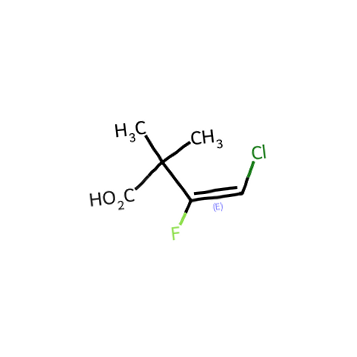 CC(C)(C(=O)O)/C(F)=C\Cl